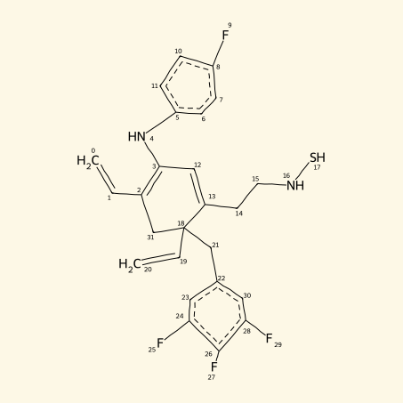 C=CC1=C(Nc2ccc(F)cc2)C=C(CCNS)C(C=C)(Cc2cc(F)c(F)c(F)c2)C1